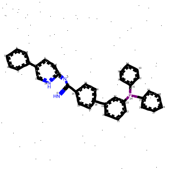 N=C(/N=c1/ccc(-c2ccccc2)c[nH]1)c1ccc(-c2cccc(P(c3ccccc3)c3ccccc3)c2)cc1